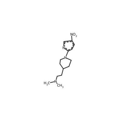 CN(C)CCC1CCN(c2ccc([N+](=O)[O-])cn2)CC1